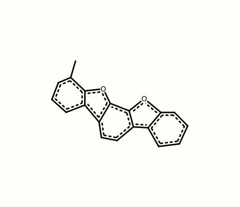 Cc1cccc2c1oc1c2ccc2c3ccccc3oc21